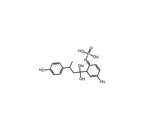 CC(CC(O)(O)C1C=C(O)C=C/C1=N\P(=O)(O)O)c1ccc(O)cc1